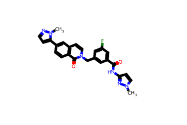 Cn1ccc(NC(=O)c2cc(F)cc(Cn3ccc4cc(-c5ccnn5C)ccc4c3=O)c2)n1